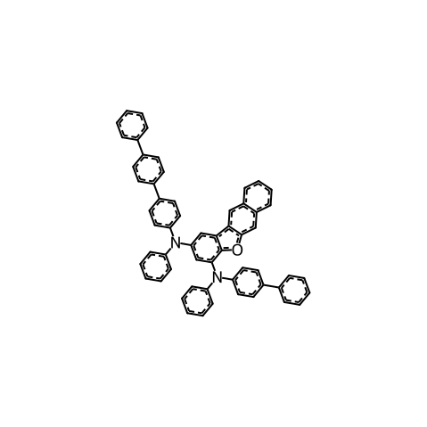 c1ccc(-c2ccc(-c3ccc(N(c4ccccc4)c4cc(N(c5ccccc5)c5ccc(-c6ccccc6)cc5)c5oc6cc7ccccc7cc6c5c4)cc3)cc2)cc1